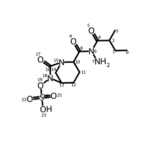 CCC(C)C(=O)N(N)C(=O)C1CCC2CN1C(=O)N2OS(=O)(=O)O